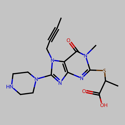 CC#CCn1c(N2CCNCC2)nc2nc(SC(C)C(=O)O)n(C)c(=O)c21